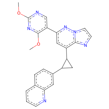 COc1ncc(-c2cc(C3CC3c3ccc4cccnc4c3)c3nccn3n2)c(OC)n1